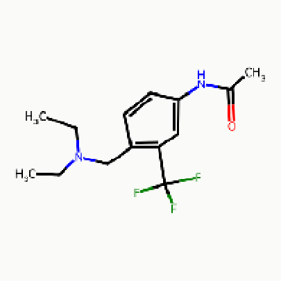 CCN(CC)Cc1ccc(NC(C)=O)cc1C(F)(F)F